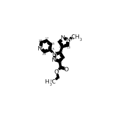 CCOC(=O)c1cc(-c2cnn(C)c2)n(-c2cccnc2)n1